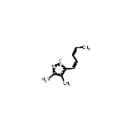 C/C=C\C=C/c1[nH]nc(N)c1C